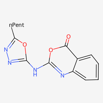 CCCCCc1nnc(Nc2nc3ccccc3c(=O)o2)o1